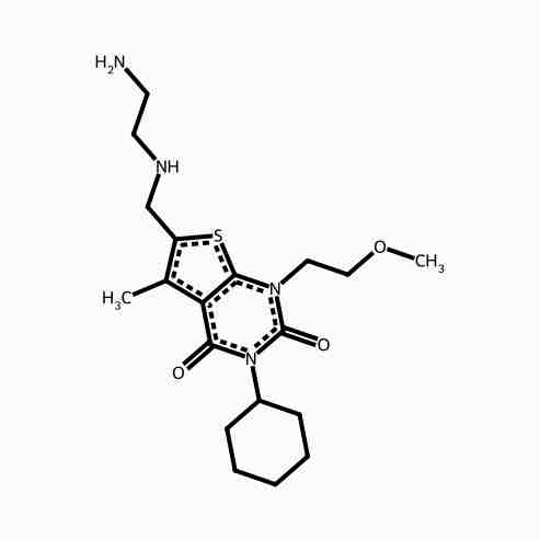 COCCn1c(=O)n(C2CCCCC2)c(=O)c2c(C)c(CNCCN)sc21